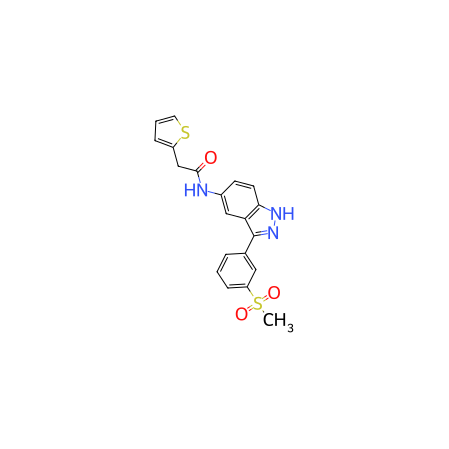 CS(=O)(=O)c1cccc(-c2n[nH]c3ccc(NC(=O)Cc4cccs4)cc23)c1